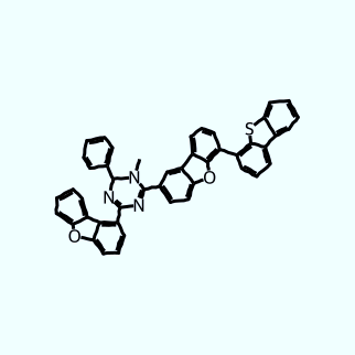 CN1C(c2ccc3oc4c(-c5cccc6c5sc5ccccc56)cccc4c3c2)=NC(c2cccc3oc4ccccc4c23)=NC1c1ccccc1